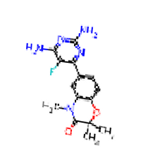 CN1C(=O)C(C)(C)Oc2ccc(-c3nc(N)nc(N)c3F)cc21